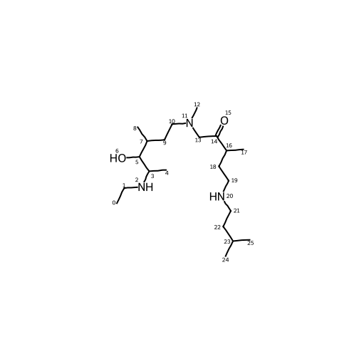 CCNC(C)C(O)C(C)CCN(C)CC(=O)C(C)CCNCCC(C)C